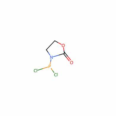 O=C1OCCN1P(Cl)Cl